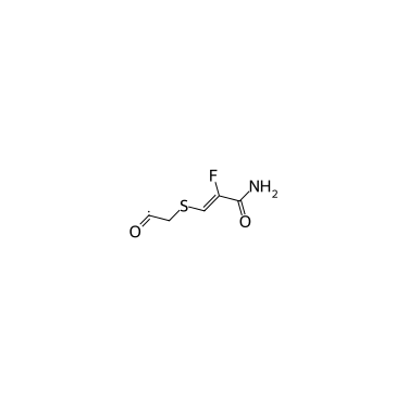 NC(=O)C(F)=CSC[C]=O